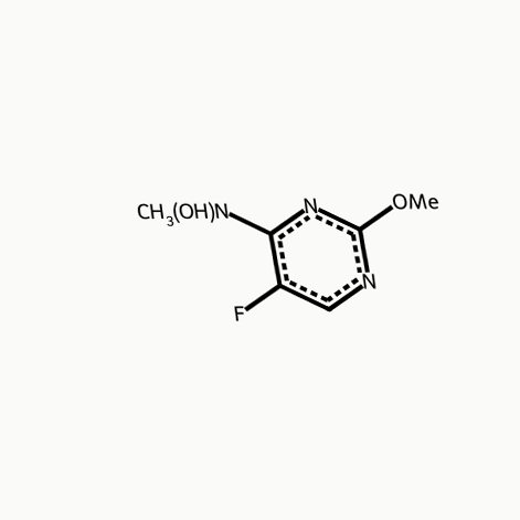 COc1ncc(F)c(N(C)O)n1